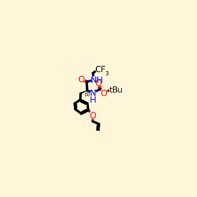 C=CCOc1cccc(C[C@H](NC(=O)OC(C)(C)C)C(=O)NCC(F)(F)F)c1